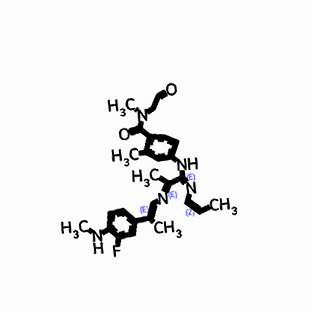 C\C=C/N=C(Nc1ccc(C(=O)N(C)CC=O)c(C)c1)\C(C)=N\C=C(/C)c1ccc(NC)c(F)c1